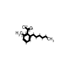 CCCCCCc1cccc(C)c1C(=O)Cl